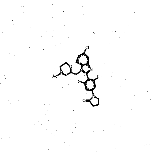 CC(=O)N1CCOC(Cn2c(-c3c(F)cc(N4CCCC4=O)cc3F)nc3cc(Cl)ccc32)C1